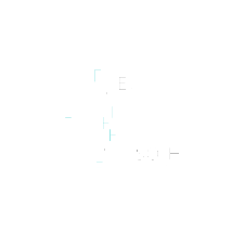 CCC(F)(F)CC(F)(F)CC(F)(F)CS(=O)(=O)O